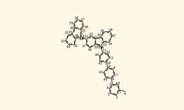 Cc1cccc(-c2ccc(-c3ccc(-n4c5ccccc5c5cc(-n6c7ccccc7c7ccccc76)ccc54)cc3)cc2)c1